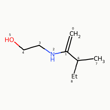 C=C(NCCO)C(C)CC